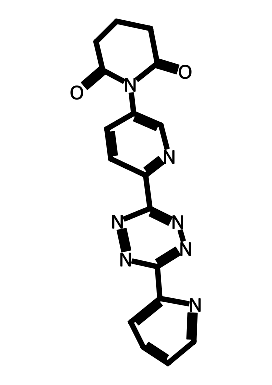 O=C1CCCC(=O)N1c1ccc(-c2nnc(-c3ccccn3)nn2)nc1